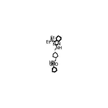 CCN(CC)c1nc(NC[C@H]2CC[C@H](CNS(=O)(=O)c3ccccc3)CC2)nc2ccccc12